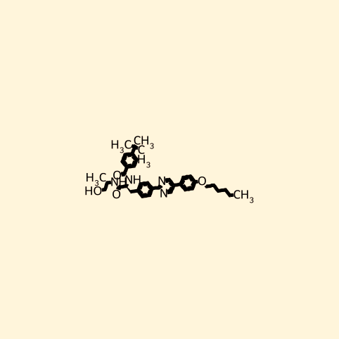 CCCCCCOc1ccc(-c2cnc(-c3ccc(C[C@H](NC(=O)c4ccc(C(C)(C)C)cc4)C(=O)N[C@H](C)CO)cc3)nc2)cc1